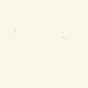 Cc1ccc(C#N)cc1NC(C)(C)C